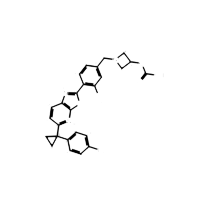 O=C(O)OC1CN(Cc2ccc(-c3nc4ccc(C5(c6ccc(F)cc6)CC5)nc4s3)c(F)c2)C1